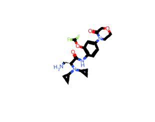 NC[C@H](C(=O)Nc1ccc(N2CCOCC2=O)cc1OC(F)F)N(C1CC1)C1CC1